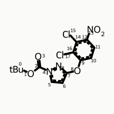 CC(C)(C)OC(=O)n1ccc(Oc2ccc([N+](=O)[O-])c(Cl)c2Cl)n1